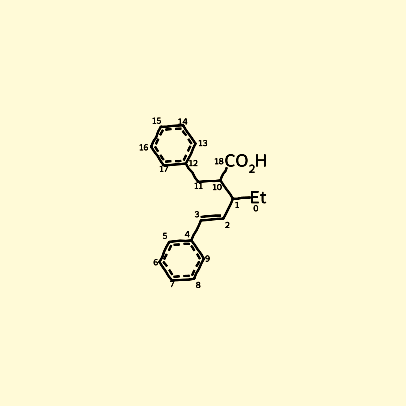 CCC(C=Cc1ccccc1)C(Cc1ccccc1)C(=O)O